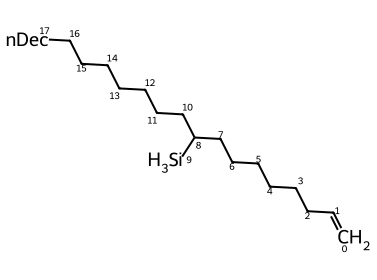 C=CCCCCCCC([SiH3])CCCCCCCCCCCCCCCCC